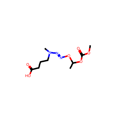 COC(=O)OC(C)ON=NN(C)CCCC(=O)O